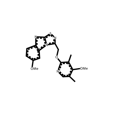 COc1ccc2nc3snc(COc4ncc(C)c(OC)c4C)n3c2c1